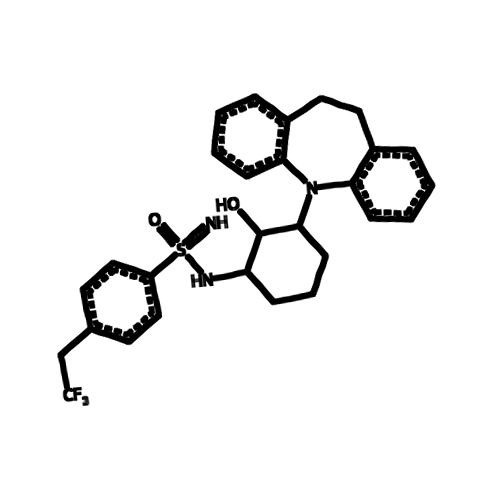 N=S(=O)(NC1CCCC(N2c3ccccc3CCc3ccccc32)C1O)c1ccc(CC(F)(F)F)cc1